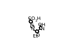 CCOc1cc(CN2CCN(c3ccc(C(=O)O)cc3)CC2)cc(-c2cncc(O)c2)c1